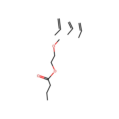 C=CC.C=CC.C=CC.CCCC(=O)OCCOC